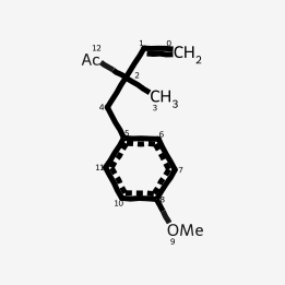 C=CC(C)(Cc1ccc(OC)cc1)C(C)=O